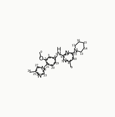 COc1cc(Nc2nc(C)cc(N3CCCCC3)n2)ccc1-n1cnc(C)c1